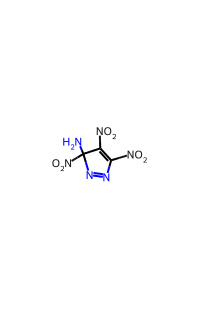 NC1([N+](=O)[O-])N=NC([N+](=O)[O-])=C1[N+](=O)[O-]